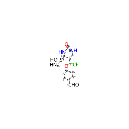 O=Cc1ccc(OC(Cl)C2=CNC(=O)NC2S(=O)(=O)O)cc1.[NaH]